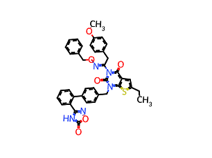 CCc1cc2c(=O)n(C(Cc3ccc(OC)cc3)=NOCc3ccccc3)c(=O)n(Cc3ccc(-c4ccccc4-c4noc(=O)[nH]4)cc3)c2s1